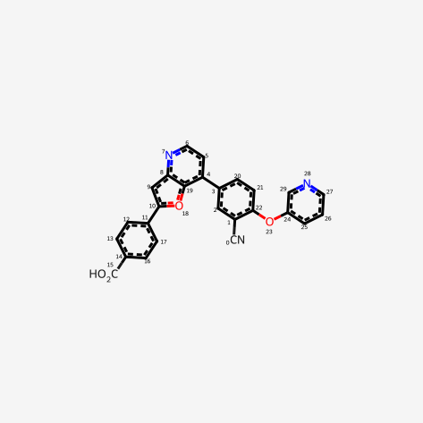 N#Cc1cc(-c2ccnc3cc(-c4ccc(C(=O)O)cc4)oc23)ccc1Oc1cccnc1